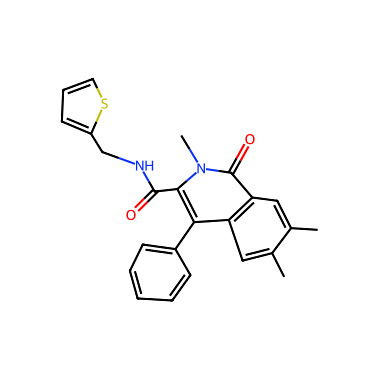 Cc1cc2c(-c3ccccc3)c(C(=O)NCc3cccs3)n(C)c(=O)c2cc1C